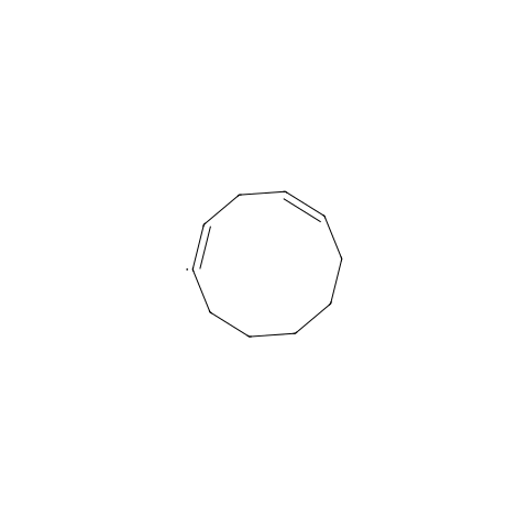 [C]1=CCC=CCCCCC1